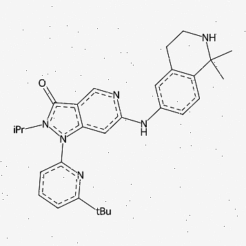 CC(C)n1c(=O)c2cnc(Nc3ccc4c(c3)CCNC4(C)C)cc2n1-c1cccc(C(C)(C)C)n1